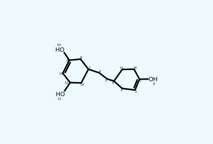 OC1=CCC(CCC2CC(O)=CC(O)C2)CC1